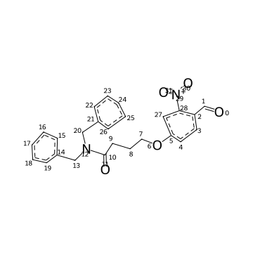 O=Cc1ccc(OCCCC(=O)N(Cc2ccccc2)Cc2ccccc2)cc1[N+](=O)[O-]